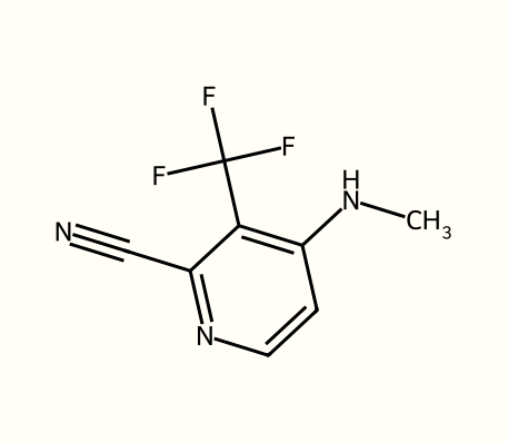 CNc1ccnc(C#N)c1C(F)(F)F